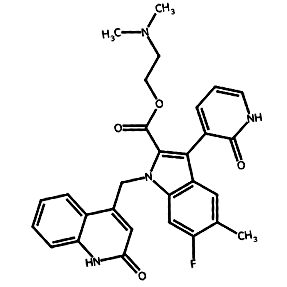 Cc1cc2c(-c3ccc[nH]c3=O)c(C(=O)OCCN(C)C)n(Cc3cc(=O)[nH]c4ccccc34)c2cc1F